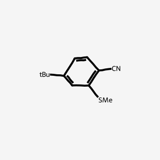 CSc1cc(C(C)(C)C)ccc1C#N